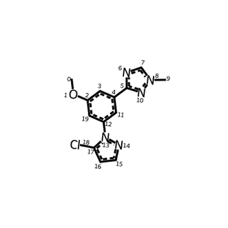 COc1cc(-c2ncn(C)n2)cc(-n2nccc2Cl)c1